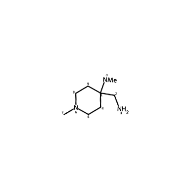 CNC1(CN)CCN(C)CC1